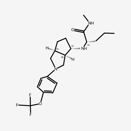 CCC[C@H](N[C@H]1CC[C@@H]2CN(c3ccc(OC(F)(F)F)cc3)C[C@@H]21)C(=O)NC